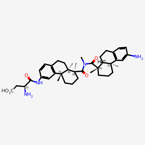 CN(C(=O)[C@@]1(C)CCC[C@]2(C)c3cc(N)ccc3CC[C@@H]12)C(=O)[C@@]1(C)CCC[C@]2(C)c3cc(NC(=O)[C@@H](N)CC(=O)O)ccc3CC[C@@]12C